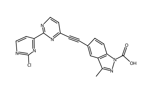 Cc1nn(C(=O)O)c2ccc(C#Cc3ccnc(-c4ccnc(Cl)n4)n3)cc12